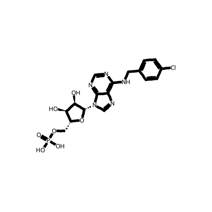 O=P(O)(O)OC[C@H]1O[C@@H](n2cnc3c(NCc4ccc(Cl)cc4)ncnc32)[C@H](O)[C@@H]1O